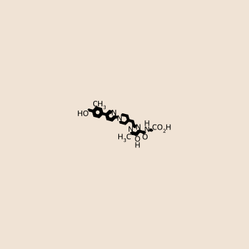 Cc1cc(-c2ccc(N3CCC(Cc4nc(C)c(O)c(C(=O)NCC(=O)O)n4)CC3)nc2)ccc1CO